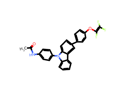 CC(=O)Nc1ccc(-n2c3ccccc3c3cc(-c4ccc(OC(F)=C(F)F)cc4)ccc32)cc1